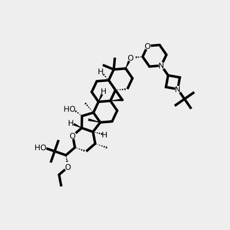 CCO[C@@H]([C@H]1C[C@@H](C)[C@H]2[C@H](O1)[C@H](O)[C@@]1(C)[C@@H]3CC[C@H]4C(C)(C)[C@@H](O[C@H]5CN(C6CN(C(C)(C)C)C6)CCO5)CC[C@@]45C[C@@]35CC[C@]21C)C(C)(C)O